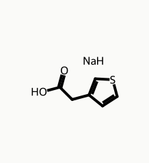 O=C(O)Cc1ccsc1.[NaH]